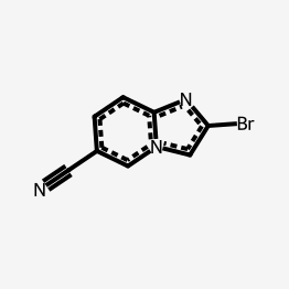 N#Cc1ccc2nc(Br)cn2c1